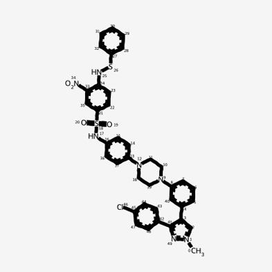 Cn1cc(-c2cccc(N3CCN(c4ccc(NS(=O)(=O)c5ccc(NSc6ccccc6)c([N+](=O)[O-])c5)cc4)CC3)c2)c(-c2ccc(Cl)cc2)n1